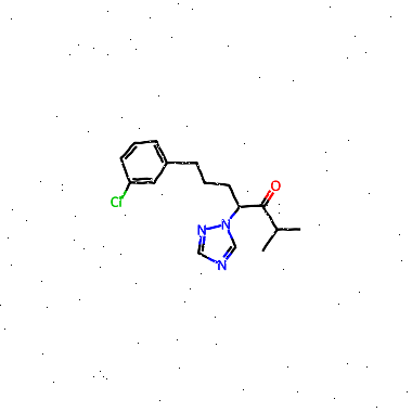 CC(C)C(=O)C(CCCc1cccc(Cl)c1)n1cncn1